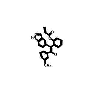 C=CC(=O)Oc1ccccc1/C(=C(\CC)c1cccc(OC)c1)c1ccc2[nH]ncc2c1